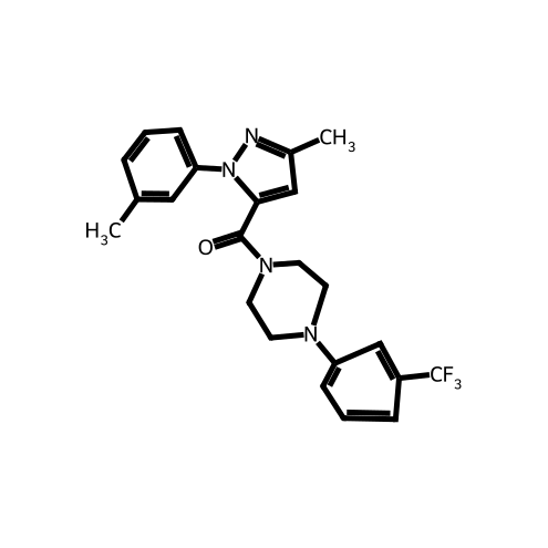 Cc1cccc(-n2nc(C)cc2C(=O)N2CCN(c3cccc(C(F)(F)F)c3)CC2)c1